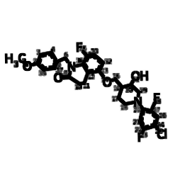 COc1ccc(CN2C(=O)CCc3c(OCC4CCN(c5cc(F)c(Cl)cc5F)CC4O)ccc(F)c32)cc1